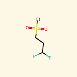 [CH2]CS(=O)(=O)CCC(F)F